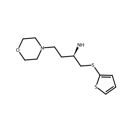 [NH][C@H](CCN1CCOCC1)CSc1cccs1